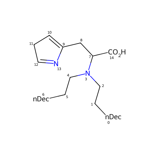 CCCCCCCCCCCCN(CCCCCCCCCCCC)C(CC1=CCC=N1)C(=O)O